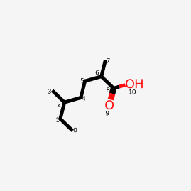 CCC(C)CCC(C)C(=O)O